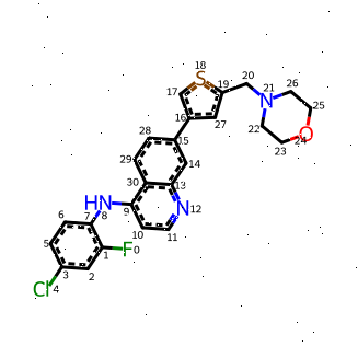 Fc1cc(Cl)ccc1Nc1ccnc2cc(-c3csc(CN4CCOCC4)c3)ccc12